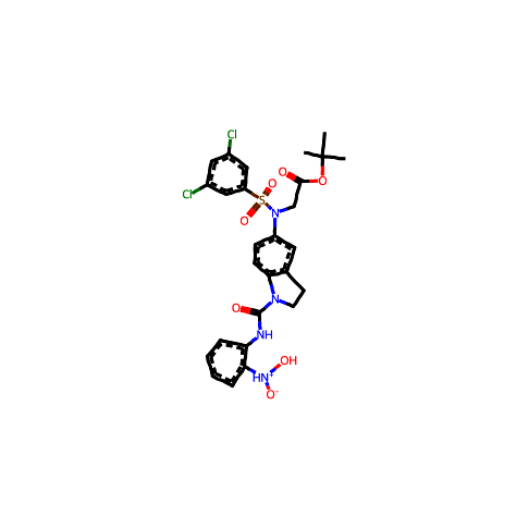 CC(C)(C)OC(=O)CN(c1ccc2c(c1)CCN2C(=O)Nc1ccccc1[NH+]([O-])O)S(=O)(=O)c1cc(Cl)cc(Cl)c1